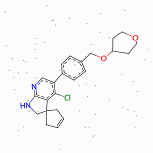 Clc1c(-c2ccc(COC3CCOCC3)cc2)cnc2c1C1(CC=CC1)CN2